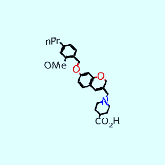 CCCc1ccc(COc2ccc3c(c2)OCC(CN2CCC(C(=O)O)CC2)=C3)c(OC)c1